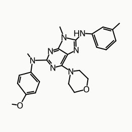 COc1ccc(N(C)c2nc(N3CCOCC3)c3nc(Nc4cccc(C)c4)n(C)c3n2)cc1